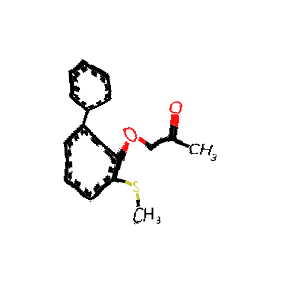 CSc1[c]ccc(-c2ccccc2)c1OCC(C)=O